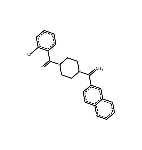 C=C(c1ccc2ncccc2c1)N1CCN(C(=O)c2ccccc2Cl)CC1